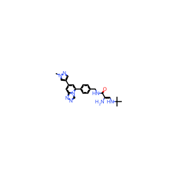 Cn1cc(-c2cc(-c3ccc(CNC(=O)/C(N)=C/NC(C)(C)C)cc3)n3cnnc3c2)cn1